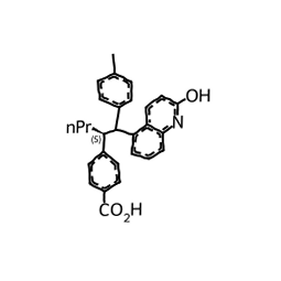 CCC[C@H](c1ccc(C(=O)O)cc1)C(c1ccc(C)cc1)c1cccc2nc(O)ccc12